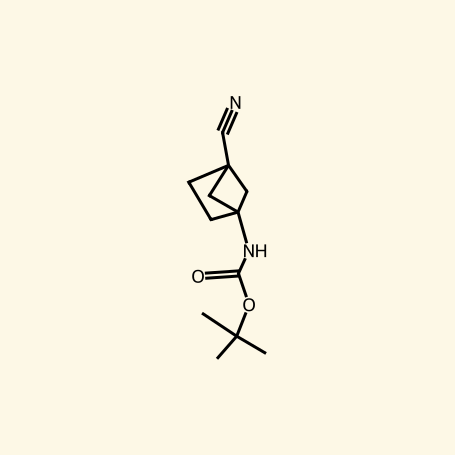 CC(C)(C)OC(=O)NC12CCC(C#N)(C1)C2